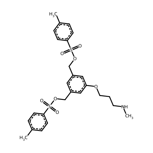 CNCCCOc1cc(COS(=O)(=O)c2ccc(C)cc2)cc(COS(=O)(=O)c2ccc(C)cc2)c1